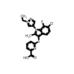 CCn1cc(-n2c(C)c(Sc3cccc(C(=O)O)n3)c3ccc(Cl)c(F)c32)cn1